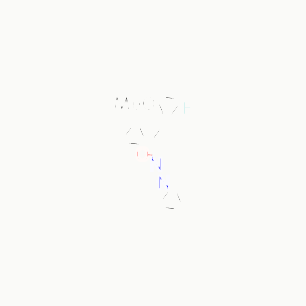 COc1ccc(F)cc1C/C=C(/CC(=O)N1CCN(c2ccccc2)CC1)c1ccccc1